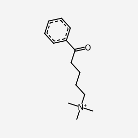 C[N+](C)(C)CCCCC(=O)c1ccccc1